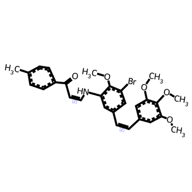 COc1cc(/C=C\c2cc(Br)c(OC)c(N/C=C\C(=O)c3ccc(C)cc3)c2)cc(OC)c1OC